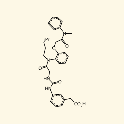 CC(C)CCCN(C(=O)CNC(=O)Nc1cccc(CC(=O)O)c1)c1ccccc1OCC(=O)N(C)c1ccccc1